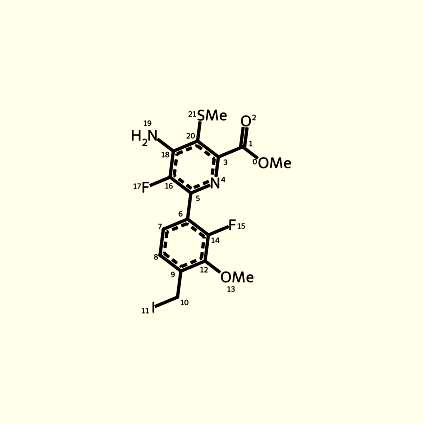 COC(=O)c1nc(-c2ccc(CI)c(OC)c2F)c(F)c(N)c1SC